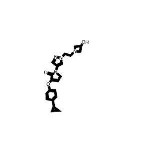 O=C1C(Oc2ccc(C3CC3)cc2)=CCN1c1cnn(CCN2CC(O)C2)c1